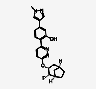 Cn1cc(-c2ccc(-c3ccc(O[C@@H]4C[C@H]5CC[C@H](C5)[C@@H]4F)nn3)c(O)c2)cn1